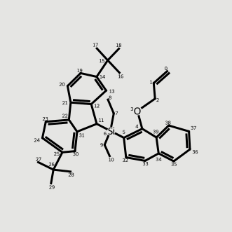 C=CCOc1c([Si](CC)(CC)C2c3cc(C(C)(C)C)ccc3-c3ccc(C(C)(C)C)cc32)ccc2ccccc12